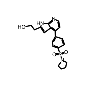 O=S(=O)(c1ccc(-c2ccnc3[nH]c(CCO)cc23)cc1)N1CCCC1